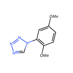 COc1ccc(OC)c(-n2[c]nnn2)c1